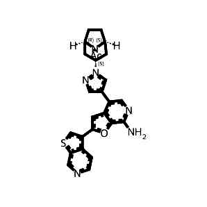 CC(=O)N1[C@@H]2CC[C@H]1C[C@H](n1cc(-c3cnc(N)c4oc(-c5csc6cnccc56)cc34)cn1)C2